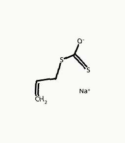 C=CCSC([O-])=S.[Na+]